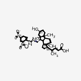 C[C@H](CCC(=O)O)[C@H]1CCC2C3C(CC[C@@]21C)[C@@]1(C)CC[C@H](O)C[C@@]1(O)[C@@H]3/C=N/Nc1ccc([N+](=O)[O-])cc1[N+](=O)[O-]